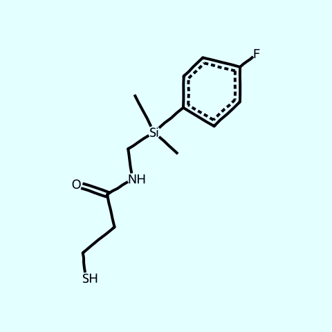 C[Si](C)(CNC(=O)CCS)c1ccc(F)cc1